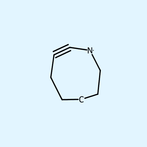 C1#C[N]CCCCC1